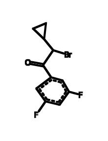 O=C(c1cc(F)cc(F)c1)C(Br)C1CC1